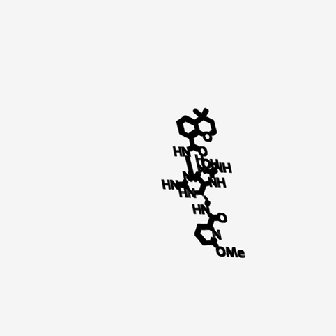 COc1cccc(C(=O)NC[C@@H]2NC(=N)N3CC(NC(=O)c4cccc5c4OCCC5(C)C)[C@@H](O)C34NC(=N)NC24)n1